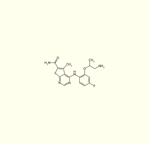 Cc1c(C(N)=O)sc2ncnc(Nc3ccc(F)cc3OC(C)CN)c12